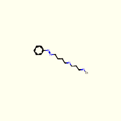 CCN=CCCN=CCCCN=Nc1ccccc1